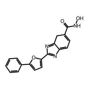 O=C(NO)C1=CC=C2N=C(c3ccc(-c4ccccc4)o3)N=C2C1